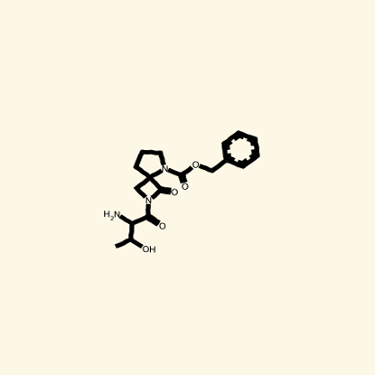 CC(O)C(N)C(=O)N1CC2(CCCN2C(=O)OCc2ccccc2)C1=O